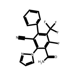 N#Cc1c(-c2ccccc2)c(C(F)(F)F)c(F)c(C(N)=O)c1-n1cccn1